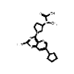 CN(C(=O)O)C1CCN(c2nc(N)nc3cc(C4CCCC4)cnc23)C1